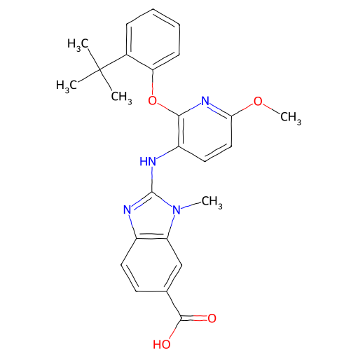 COc1ccc(Nc2nc3ccc(C(=O)O)cc3n2C)c(Oc2ccccc2C(C)(C)C)n1